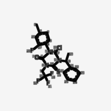 Cc1ccc(NC(=O)N(CC(F)(F)F)C(=S)N(CCl)C(C)c2ccccc2)c(F)c1